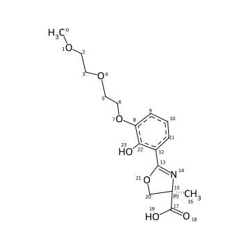 COCCOCCOc1cccc(C2=N[C@@](C)(C(=O)O)CO2)c1O